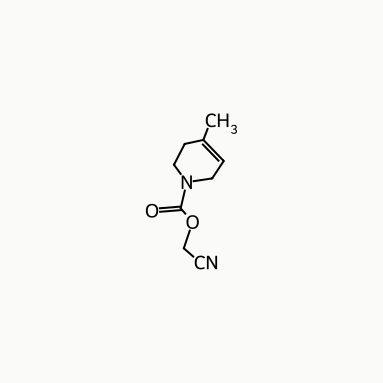 CC1=CCN(C(=O)OCC#N)CC1